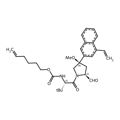 C=CCCCCOC(=O)N[C@H](C(=O)N1C[C@](OC)(c2cc(C=C)c3ccccc3c2)C[C@H]1C=O)C(C)(C)C